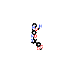 Cc1c(-c2ccc3c(c2)OCCO3)ccnc1-c1nc2cc(CN3CCCCC3)c(OCC#N)cc2o1